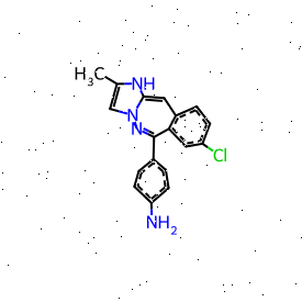 CC1=CN2N=C(c3ccc(N)cc3)c3cc(Cl)ccc3C=C2N1